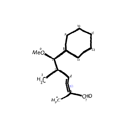 COC(C(C)/C=C(\C)C=O)C1CCCCC1